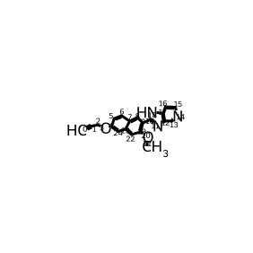 C#CCOc1ccc2cc(-c3nc4cnccc4[nH]3)c(OC)cc2c1